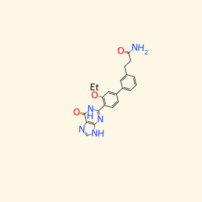 CCOc1cc(-c2cccc(CCC(N)=O)c2)ccc1-c1nc2[nH]cnc2c(=O)[nH]1